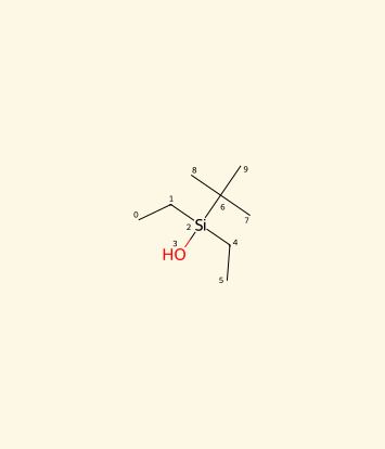 CC[Si](O)(CC)C(C)(C)C